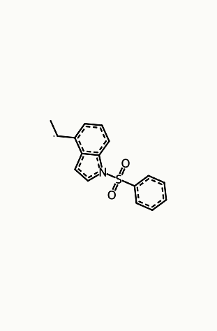 C[CH]c1cccc2c1ccn2S(=O)(=O)c1ccccc1